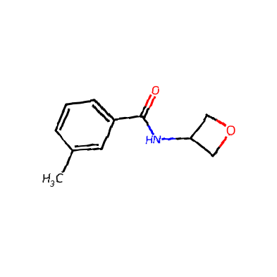 Cc1cccc(C(=O)NC2COC2)c1